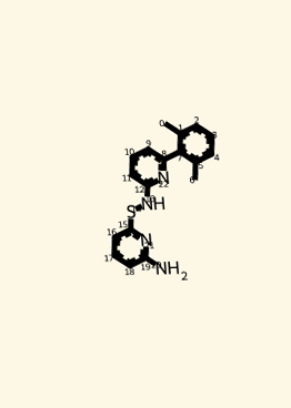 Cc1cccc(C)c1-c1cccc(NSc2cccc(N)n2)n1